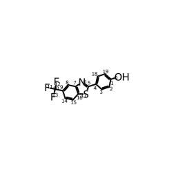 Oc1ccc(-c2nc3cc(C(F)(F)F)ccc3s2)cc1